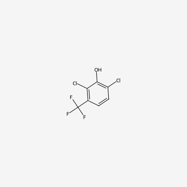 Oc1c(Cl)ccc(C(F)(F)F)c1Cl